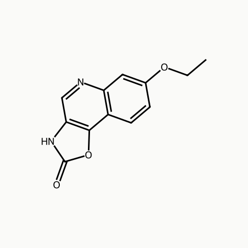 CCOc1ccc2c(c1)ncc1[nH]c(=O)oc12